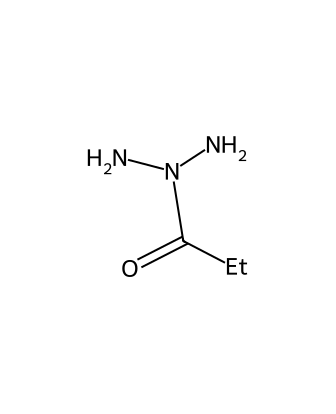 CCC(=O)N(N)N